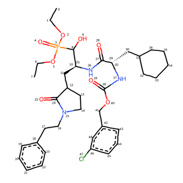 CCOP(=O)(OCC)C(O)[C@H](CC1CCN(CCc2ccccc2)C1=O)NC(=O)[C@H](CC1CCCCC1)NC(=O)OCc1cccc(Cl)c1